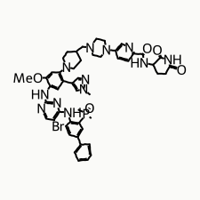 COc1cc(N2CCC(CN3CCN(c4ccc(C(=O)NC5CCC(=O)NC5=O)nc4)CC3)CC2)c(-c2cnn(C)c2)cc1Nc1ncc(Br)c(Nc2ccc(-c3ccccc3)cc2P(C)(C)=O)n1